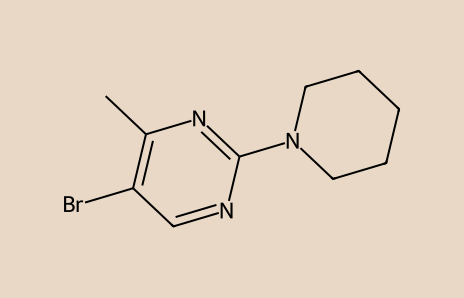 Cc1nc(N2CCCCC2)ncc1Br